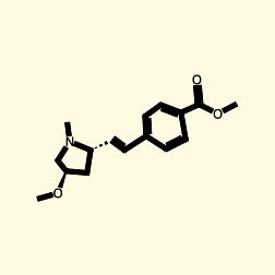 COC(=O)c1ccc(/C=C/[C@@H]2C[C@@H](OC)CN2C)cc1